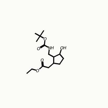 CCOC(=O)CC1CCC(O)C1CNC(=O)OC(C)(C)C